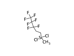 C[Si](Cl)(Cl)CCC(F)(F)C(F)(F)C(F)(F)F